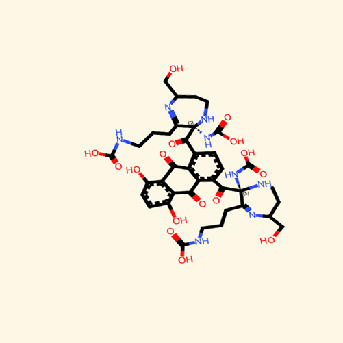 O=C(O)NCCCC1=NC(CO)CCN[C@@]1(NC(=O)O)C(=O)c1ccc(C(=O)[C@]2(NC(=O)O)NCCC(CO)N=C2CCCNC(=O)O)c2c1C(=O)c1c(O)ccc(O)c1C2=O